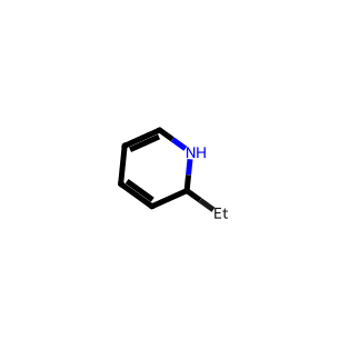 [CH2]CC1C=CC=CN1